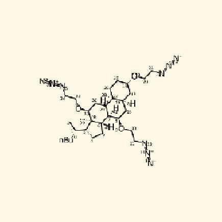 CCCC[C@H](C)[C@H]1CC[C@H]2[C@@H]3[C@H](OCCN=[N+]=[N-])C[C@@H]4C[C@@H](OCCN=[N+]=[N-])CC[C@]4(C)[C@H]3C[C@H](OCCN=[N+]=[N-])[C@]12C